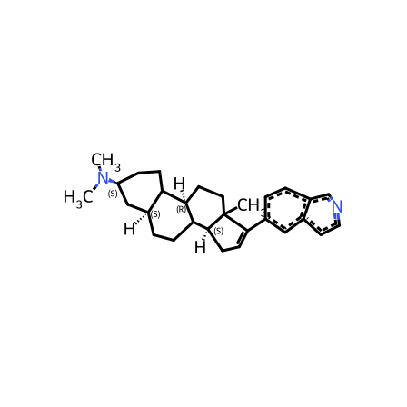 CN(C)[C@H]1CCC2[C@@H](CCC3[C@@H]2CCC2(C)C(c4ccc5cnccc5c4)=CC[C@@H]32)C1